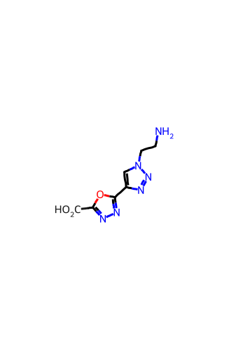 NCCn1cc(-c2nnc(C(=O)O)o2)nn1